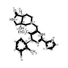 CCOC(=O)C1=C(CN2CC[C@@H]3C(=O)NC[C@]3(O)C2)NC(c2nccs2)=N[C@H]1c1cccc(F)c1C